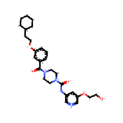 O=C(Nc1cncc(OCCO)c1)N1CCN(C(=O)c2cccc(OCCC3CCCCC3)c2)CC1